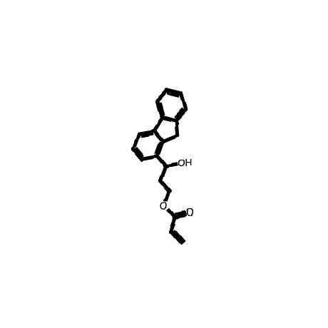 C=CC(=O)OCCC(O)c1cccc2c1Cc1ccccc1-2